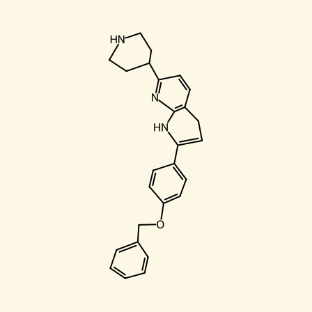 C1=C(c2ccc(OCc3ccccc3)cc2)Nc2nc(C3CCNCC3)ccc2C1